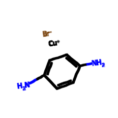 Nc1ccc(N)cc1.[Br-].[Cu+]